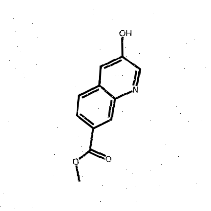 COC(=O)c1ccc2cc(O)cnc2c1